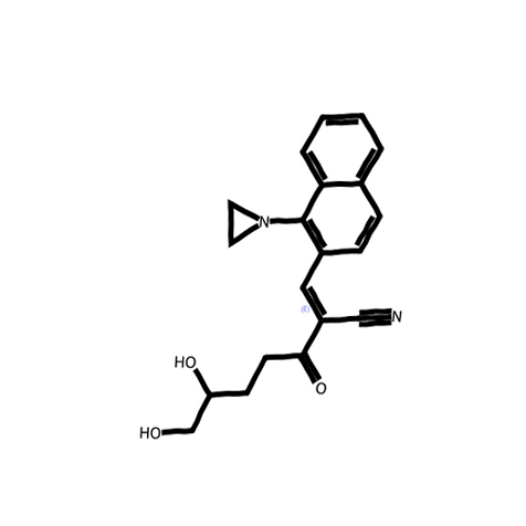 N#C/C(=C\c1ccc2ccccc2c1N1CC1)C(=O)CCC(O)CO